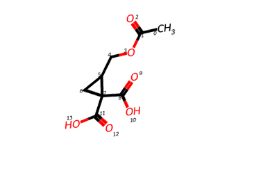 CC(=O)OCC1CC1(C(=O)O)C(=O)O